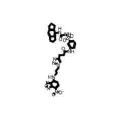 O=C(CCc1cn(CCCNc2ccc([N+](=O)[O-])c3nonc23)nn1)Nc1cccc(S(=O)(=O)NC(=O)Nc2c3c(cc4c2CCC4)CCC3)c1